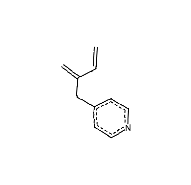 C=CC(=C)Cc1ccncc1